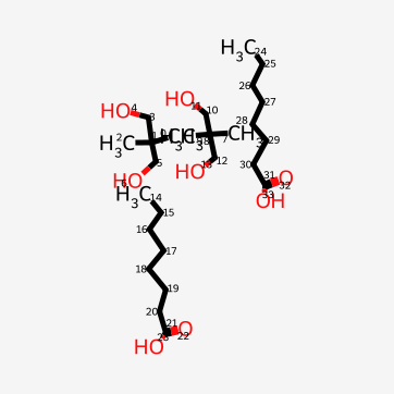 CC(C)(CO)CO.CC(C)(CO)CO.CCCCCCCC(=O)O.CCCCCCCC(=O)O